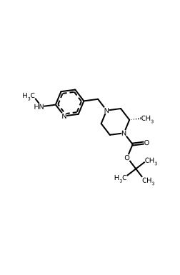 CNc1ccc(CN2CCN(C(=O)OC(C)(C)C)[C@@H](C)C2)cn1